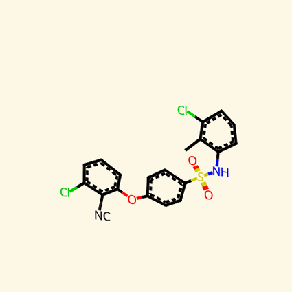 [C-]#[N+]c1c(Cl)cccc1Oc1ccc(S(=O)(=O)Nc2cccc(Cl)c2C)cc1